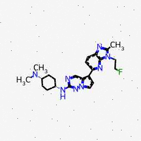 Cc1nc2ccc(-c3ccn4nc(N[C@H]5CC[C@@H](N(C)C)CC5)ncc34)nc2n1CCF